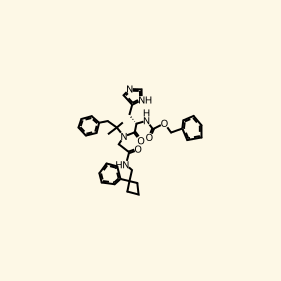 CC(C)(Cc1ccccc1)N(CC(=O)NCC1(c2ccccc2)CCC1)C(=O)[C@H](Cc1cnc[nH]1)NC(=O)OCc1ccccc1